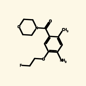 Cc1cc(N)c(OCCF)cc1C(=O)N1CCOCC1